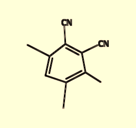 Cc1cc(C)c(C#N)c(C#N)c1C